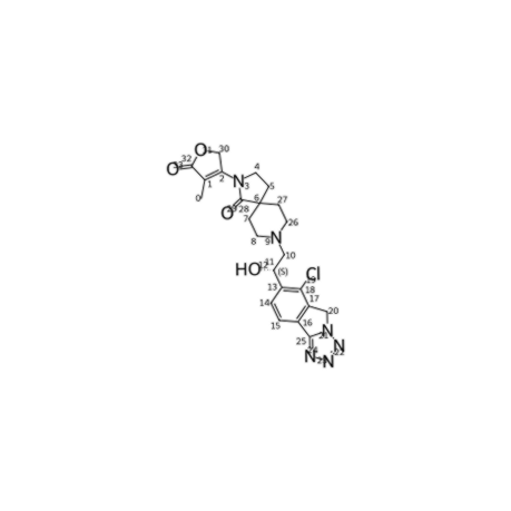 CC1=C(N2CCC3(CCN(C[C@@H](O)c4ccc5c(c4Cl)Cn4nnnc4-5)CC3)C2=O)COC1=O